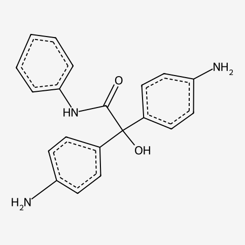 Nc1ccc(C(O)(C(=O)Nc2ccccc2)c2ccc(N)cc2)cc1